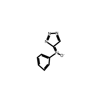 [O-]/[P+](=C1\C=NN=N1)c1ccccc1